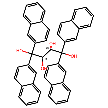 O[C@H]([C@@H](O)C(O)(c1ccc2ccccc2c1)c1ccc2ccccc2c1)C(O)(c1ccc2ccccc2c1)c1ccc2ccccc2c1